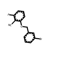 N#Cc1c(F)cccc1OCc1cccc(Br)c1